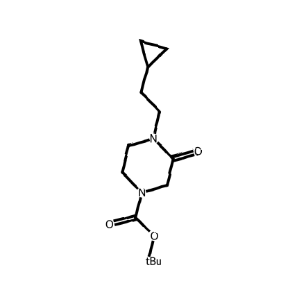 CC(C)(C)OC(=O)N1CCN(CCC2CC2)C(=O)C1